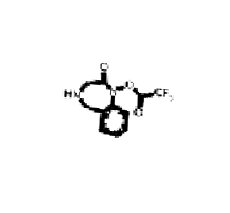 O=C1CNCc2ccccc2N1OC(=O)C(F)(F)F